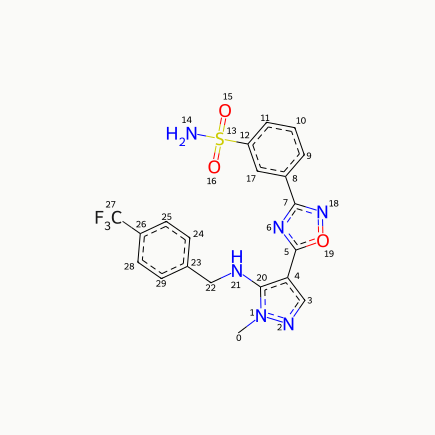 Cn1ncc(-c2nc(-c3cccc(S(N)(=O)=O)c3)no2)c1NCc1ccc(C(F)(F)F)cc1